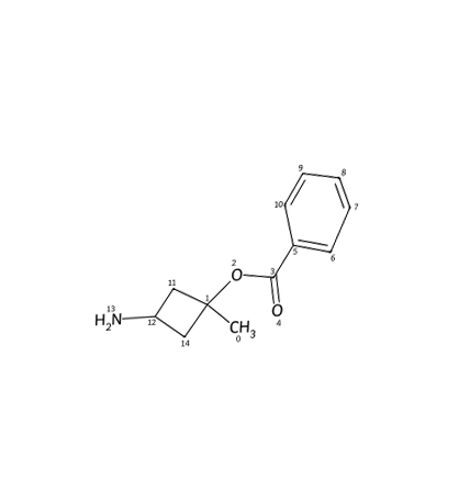 CC1(OC(=O)c2ccccc2)CC(N)C1